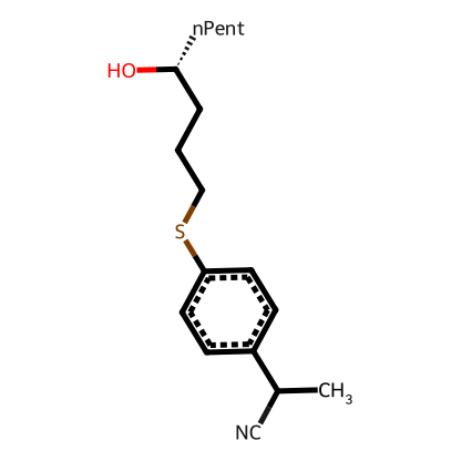 CCCCC[C@@H](O)CCCSc1ccc(C(C)C#N)cc1